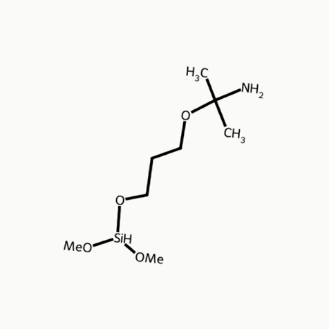 CO[SiH](OC)OCCCOC(C)(C)N